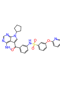 Nc1ncnc2c1c(C(=O)c1cccc(NS(=O)(=O)c3cccc(Oc4ccccn4)c3)c1)cn2C1CCCC1